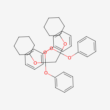 c1ccc(OC(CC(Oc2ccccc2)(Oc2ccccc2)OC2CCCCC2)(Oc2ccccc2)OC2CCCCC2)cc1